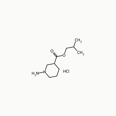 CC(C)COC(=O)C1CCCN(N)C1.Cl